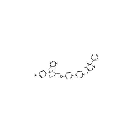 Cc1nc(-c2ccccc2)ncc1CN1CCN(c2ccc(OCC3COC(Cn4ccnc4)(c4ccc(F)cc4)O3)cc2)CC1